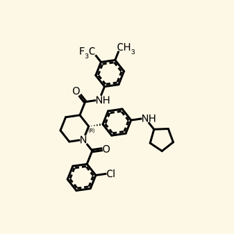 Cc1ccc(NC(=O)C2CCCN(C(=O)c3ccccc3Cl)[C@H]2c2ccc(NC3CCCC3)cc2)cc1C(F)(F)F